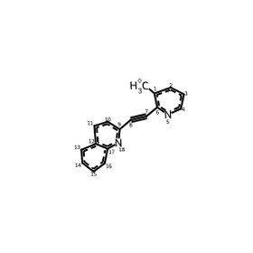 Cc1cccnc1C#Cc1ccc2ccccc2n1